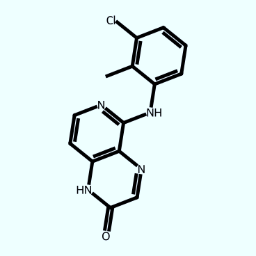 Cc1c(Cl)cccc1Nc1nccc2[nH]c(=O)cnc12